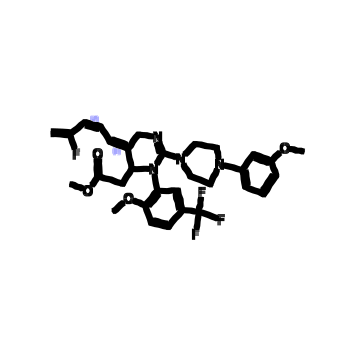 C=C(F)/C=C\C=C1/CN=C(N2CCN(c3cccc(OC)c3)CC2)N(c2cc(C(F)(F)F)ccc2OC)C1CC(=O)OC